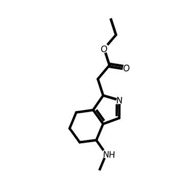 CCOC(=O)CC1N=CC2=C1CCCC2NC